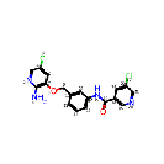 Nc1ncc(Cl)cc1OCc1cccc(NC(=O)c2cncc(Cl)c2)c1